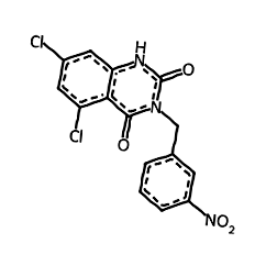 O=c1[nH]c2cc(Cl)cc(Cl)c2c(=O)n1Cc1cccc([N+](=O)[O-])c1